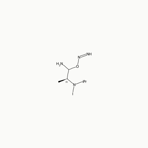 CC(C)N(I)[C@@H](C)C(N)ON=N